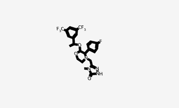 CC(OC1OCCN(Cc2n[nH]c(=O)n2C)C1c1ccc(F)cc1)c1cc(C(F)(F)F)cc(C(F)(F)F)c1